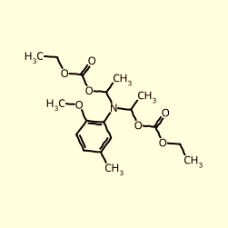 CCOC(=O)OC(C)N(c1cc(C)ccc1OC)C(C)OC(=O)OCC